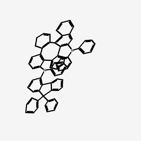 C1=CC2=C(CC1)c1cccc(N(c3ccccc3)c3cccc4c3-c3ccccc3C4(c3ccccc3)c3ccccc3)c1-c1ccccc1-c1c(N(c3ccccc3)c3ccccc3)cc3ccccc3c12